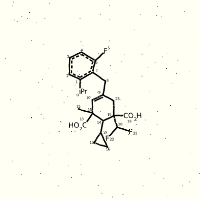 CC(C)c1cccc(F)c1CC1=CC(C)(C(=O)O)C(C2CC2)C(C(=O)O)(C(F)F)C1